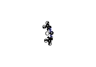 CCN1/C(=C\C=C2/CCCC(/C=C/C3=[N+](CC)c4c(COC)cc(OC)cc4C3(C)C)=C2Cl)C(C)(C)c2cc(OC)cc(COC)c21